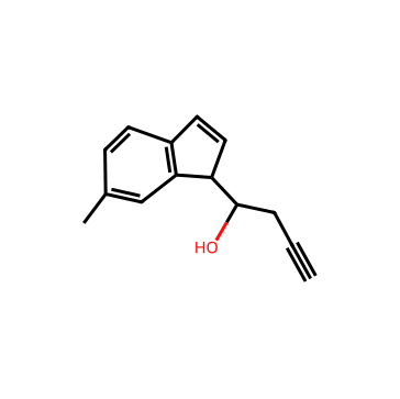 C#CCC(O)C1C=Cc2ccc(C)cc21